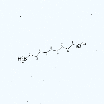 BCCCCCCCCCOC